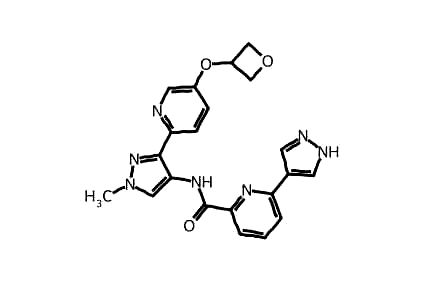 Cn1cc(NC(=O)c2cccc(-c3cn[nH]c3)n2)c(-c2ccc(OC3COC3)cn2)n1